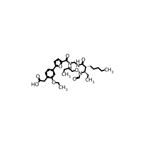 CCCCC[C@@H](C(=O)NCNC(=O)c1ccc(-c2ccc(CC(=O)O)c(OCC)c2)o1)[C@@H](CC)N(C=O)OCCCC